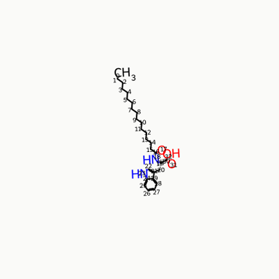 CCCCCCCCCCCCCCCCC(=O)N[C@@H](Cc1c[nH]c2ccccc12)C(=O)O